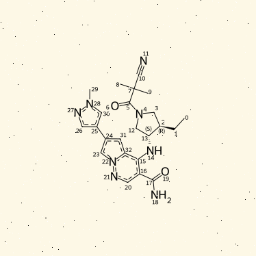 CC[C@@H]1CN(C(=O)C(C)(C)C#N)C[C@H]1Nc1c(C(N)=O)cnn2cc(-c3cnn(C)c3)cc12